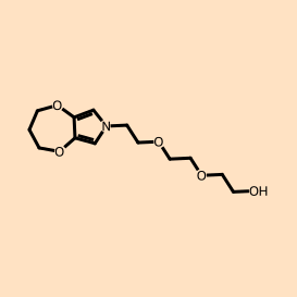 OCCOCCOCCn1cc2c(c1)OCCCO2